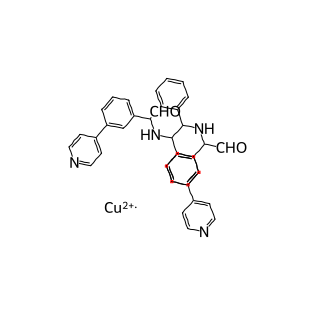 O=CC(NC(c1ccccc1)C(NC(C=O)c1cccc(-c2ccncc2)c1)c1ccccc1)c1cccc(-c2ccncc2)c1.[Cu+2]